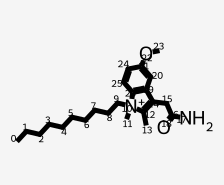 CCCCCCCCCC[N+]1(C)C(C)=C(CC(N)=O)c2cc(OC)ccc21